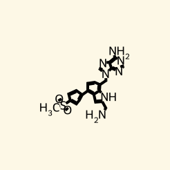 CS(=O)(=O)c1ccc(-c2ccc(Cn3cnc4c(N)ncnc43)c3[nH]c(CN)cc23)cc1